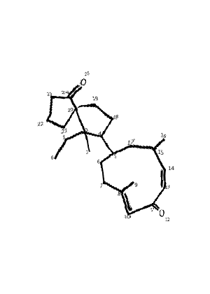 CCC1(C)C(C2CC/C(C)=C/C(=O)/C=C\C(C)C2)CC[C@]12CCCC2=O